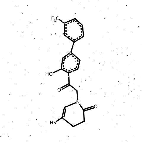 O=C(CN1C=C(S)CCC1=O)c1ccc(-c2cccc(C(F)(F)F)c2)cc1O